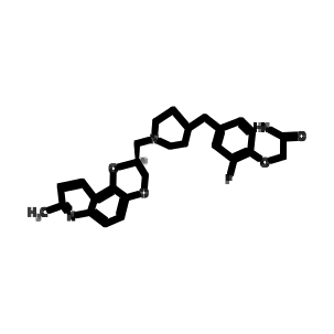 Cc1ccc2c3c(ccc2n1)OC[C@H](CN1CCC(Cc2cc(F)c4c(c2)NC(=O)CO4)CC1)O3